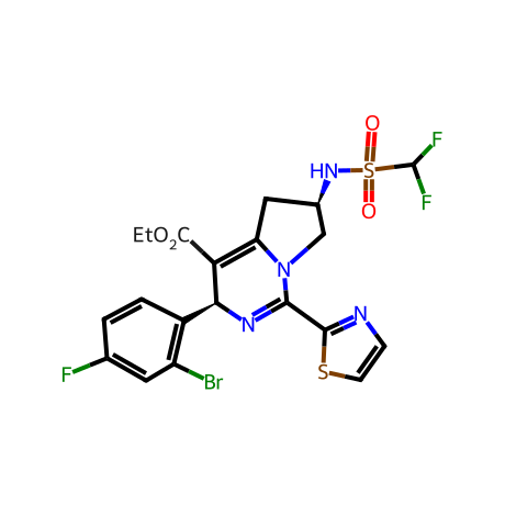 CCOC(=O)C1=C2C[C@@H](NS(=O)(=O)C(F)F)CN2C(c2nccs2)=N[C@H]1c1ccc(F)cc1Br